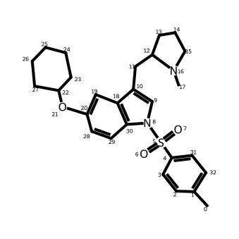 Cc1ccc(S(=O)(=O)n2cc(CC3CCCN3C)c3cc(OC4CCCCC4)ccc32)cc1